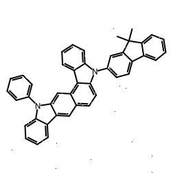 CC1(C)c2ccccc2-c2ccc(-n3c4ccccc4c4c5cc6c(cc5ccc43)c3ccccc3n6-c3ccccc3)cc21